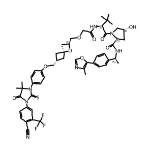 Cc1ncoc1-c1ccc([C@H](C)NC(=O)[C@@H]2C[C@@H](O)CN2C(=O)[C@@H](NC(=O)COC[C@@H]2C[C@]3(C[C@@H](COc4ccc(N5C(=S)N(c6ccc(C#N)c(C(F)(F)F)c6)C(=O)C5(C)C)cc4)C3)O2)C(C)(C)C)cc1